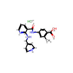 Cc1cc(NC(=O)c2cccnc2NCc2ccncc2)ccc1C(=O)O.Cl